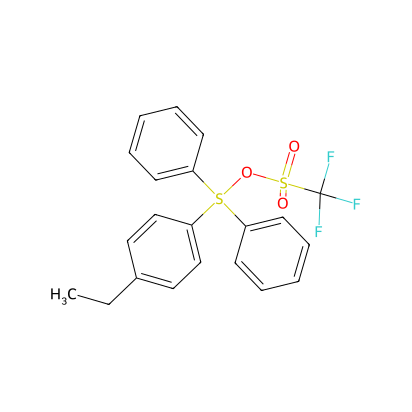 CCc1ccc(S(OS(=O)(=O)C(F)(F)F)(c2ccccc2)c2ccccc2)cc1